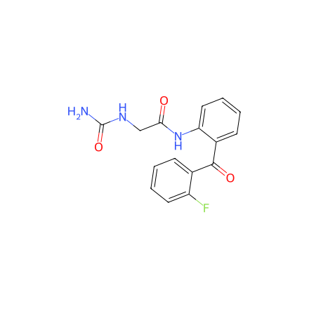 NC(=O)NCC(=O)Nc1ccccc1C(=O)c1ccccc1F